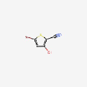 N#Cc1sc(Br)cc1O